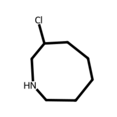 ClC1CCCCCNC1